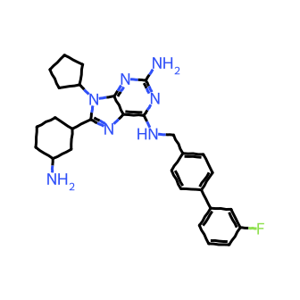 Nc1nc(NCc2ccc(-c3cccc(F)c3)cc2)c2nc(C3CCCC(N)C3)n(C3CCCC3)c2n1